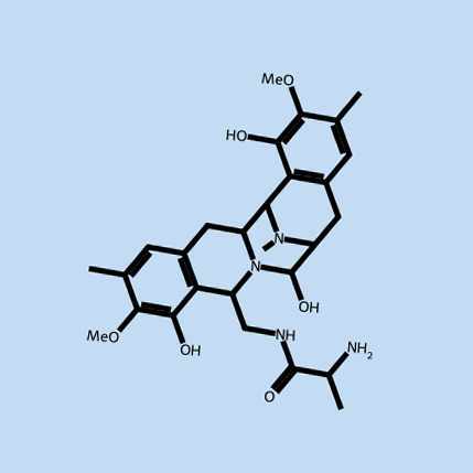 COc1c(C)cc2c(c1O)C1C3Cc4cc(C)c(OC)c(O)c4C(CNC(=O)C(C)N)N3C(O)C(C2)N1C